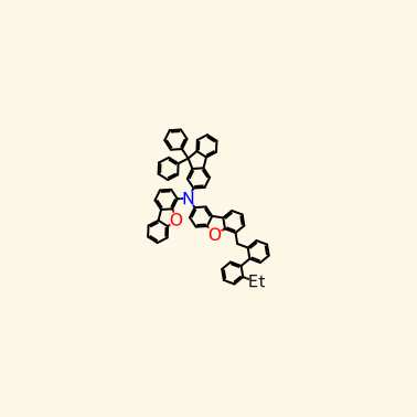 CCc1ccccc1-c1ccccc1Cc1cccc2c1oc1ccc(N(c3ccc4c(c3)C(c3ccccc3)(c3ccccc3)c3ccccc3-4)c3cccc4c3oc3ccccc34)cc12